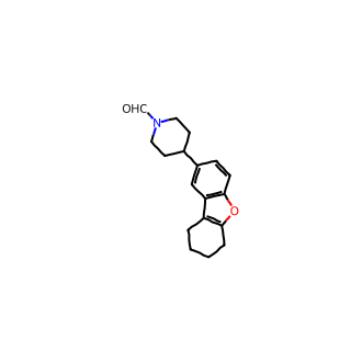 O=CN1CCC(c2ccc3oc4c(c3c2)CCCC4)CC1